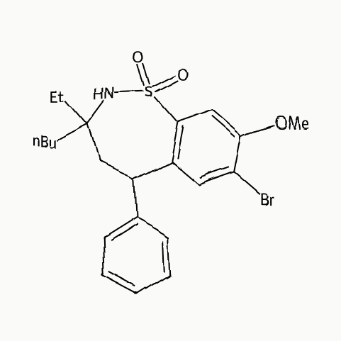 CCCCC1(CC)CC(c2ccccc2)c2cc(Br)c(OC)cc2S(=O)(=O)N1